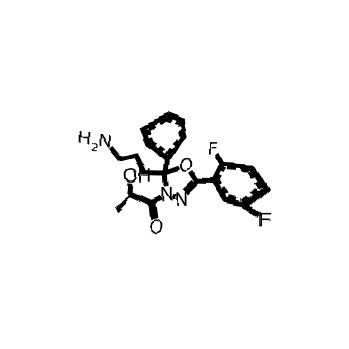 C[C@@H](O)C(=O)N1N=C(c2cc(F)ccc2F)OC1(CCCN)c1ccccc1